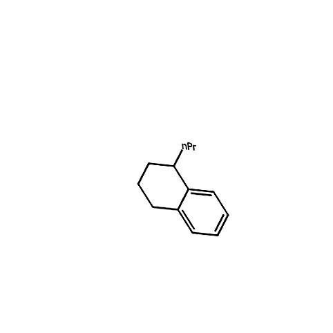 CCCC1CCCc2ccccc21